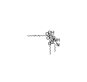 CCCCCC=CCC=CCCCCCCC(CC(C)COC(=O)NCCCN(C)C)(OC(=O)CCC(OCCCCCCCC)OCCCCCCCC)C(=O)O